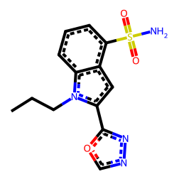 CCCn1c(-c2nnco2)cc2c(S(N)(=O)=O)cccc21